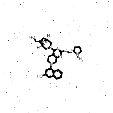 CN1CCC[C@H]1COc1nc2c(c(N3C[C@@H]4C[C@H](CO)[C@H](C3)N4)n1)CCN(c1cc(O)cc3ccccc13)C2